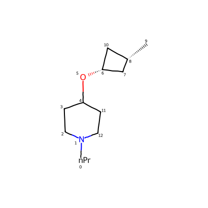 CCCN1CCC(O[C@H]2C[C@@H](C)C2)CC1